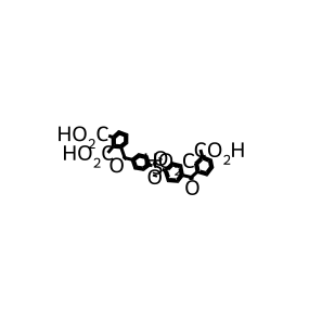 O=C(O)c1cccc(C(=O)c2ccc(S(=O)(=O)c3ccc(C(=O)c4cccc(C(=O)O)c4C(=O)O)cc3)cc2)c1C(=O)O